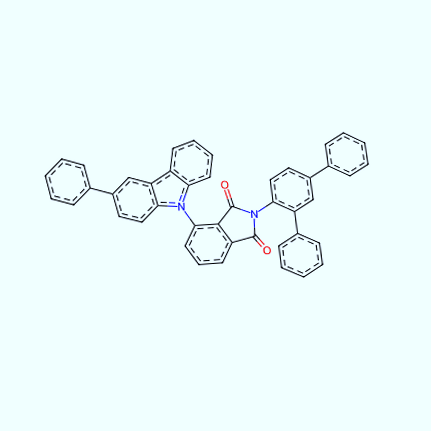 O=C1c2cccc(-n3c4ccccc4c4cc(-c5ccccc5)ccc43)c2C(=O)N1c1ccc(-c2ccccc2)cc1-c1ccccc1